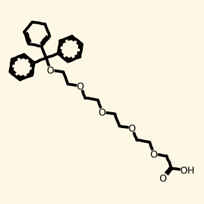 O=C(O)COCCOCCOCCOCCOC(C1=CCCC=C1)(c1ccccc1)c1ccccc1